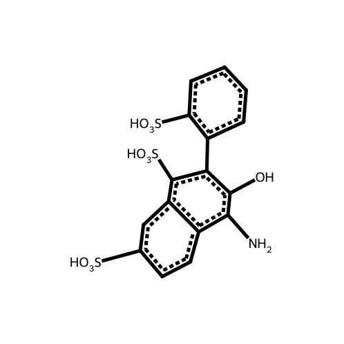 Nc1c(O)c(-c2ccccc2S(=O)(=O)O)c(S(=O)(=O)O)c2cc(S(=O)(=O)O)ccc12